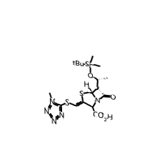 C[C@@H](O[Si](C)(C)C(C)(C)C)[C@@H]1C(=O)N2C(C(=O)O)C(=CSc3nnnn3C)S[C@H]12